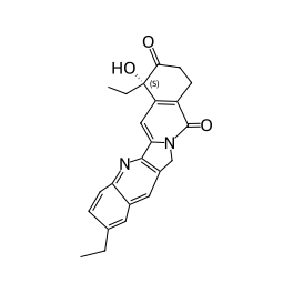 CCc1ccc2nc3c(cc2c1)Cn1c-3cc2c(c1=O)CCC(=O)[C@]2(O)CC